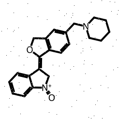 O=[N+]1CC(=C2OCc3cc(CN4CCCCC4)ccc32)c2ccccc21